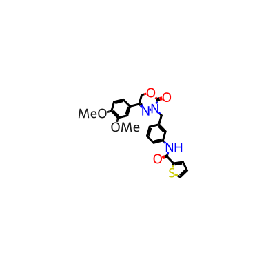 COc1ccc(C2=NN(Cc3cccc(NC(=O)c4cccs4)c3)C(=O)OC2)cc1OC